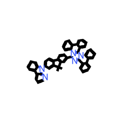 CC1(C)c2cc(-c3nc(-c4ccccc4-c4ccccc4)nc(-c4ccccc4-c4ccccc4)n3)ccc2-c2ccc(-n3c4ccccc4c4cccnc43)cc21